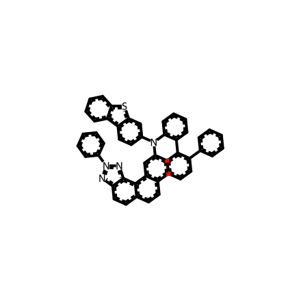 c1ccc(-c2ccccc2-c2ccccc2N(c2ccc3c(c2)sc2ccccc23)c2ccc3ccc4ccc5nn(-c6ccccc6)nc5c4c3c2)cc1